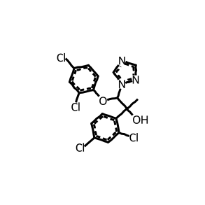 CC(O)(c1ccc(Cl)cc1Cl)C(Oc1ccc(Cl)cc1Cl)n1cncn1